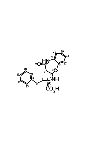 O=C1CC(N[C@H](CCc2ccccc2)C(=O)O)Sc2ccccc2N1